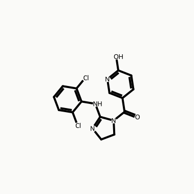 O=C(c1ccc(O)nc1)N1CCN=C1Nc1c(Cl)cccc1Cl